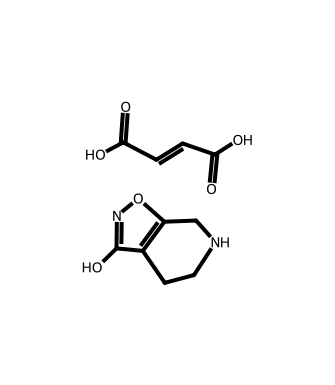 O=C(O)C=CC(=O)O.Oc1noc2c1CCNC2